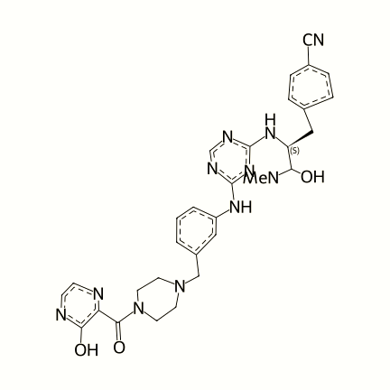 CNC(O)[C@H](Cc1ccc(C#N)cc1)Nc1ncnc(Nc2cccc(CN3CCN(C(=O)c4nccnc4O)CC3)c2)n1